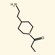 CCC(=O)N1CCC(CCN)CC1